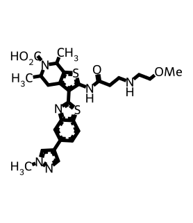 COCCNCCC(=O)Nc1sc2c(c1-c1nc3cc(-c4cnn(C)c4)ccc3s1)CC(C)N(C(=O)O)C2C